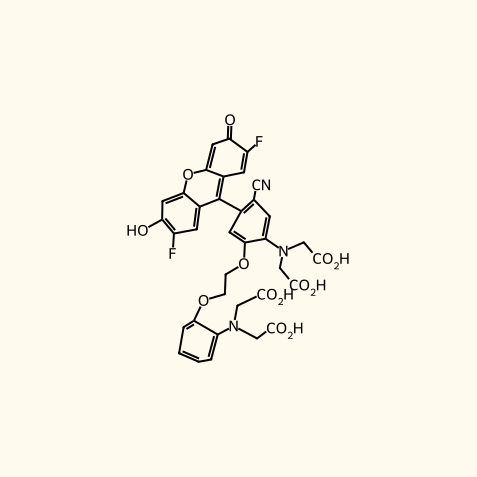 N#Cc1cc(N(CC(=O)O)CC(=O)O)c(OCCOc2ccccc2N(CC(=O)O)CC(=O)O)cc1-c1c2cc(F)c(=O)cc-2oc2cc(O)c(F)cc12